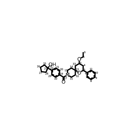 CCOC1CC(c2ccccc2)OC2(CCN(C(=O)c3ccc(C4(O)CCCC4)cc3)CC2)C1